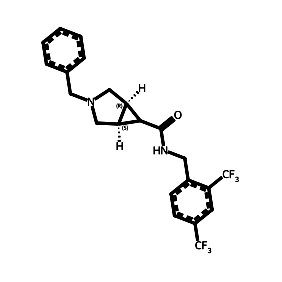 O=C(NCc1ccc(C(F)(F)F)cc1C(F)(F)F)C1[C@H]2CN(Cc3ccccc3)C[C@@H]12